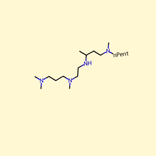 CCCCCN(C)CCC(C)NCCN(C)CCCN(C)C